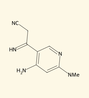 CNc1cc(N)c(C(=N)CC#N)cn1